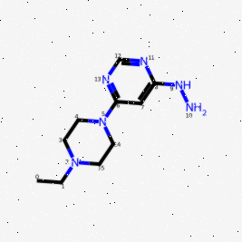 CCN1CCN(c2cc(NN)ncn2)CC1